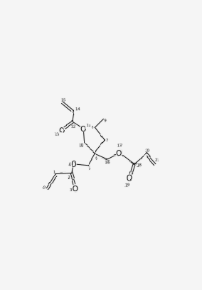 C=CC(=O)OCC(CCC)(COC(=O)C=C)COC(=O)C=C